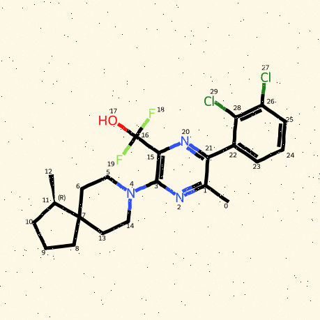 Cc1nc(N2CCC3(CCC[C@H]3C)CC2)c(C(O)(F)F)nc1-c1cccc(Cl)c1Cl